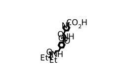 CCC(CC)C(=O)NCCc1ccc(S(=O)(=O)NC(=O)c2ccc(C(=O)O)nc2)cc1